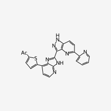 CC(=O)c1ccc(-c2ccnc3[nH]c(-c4n[nH]c5ccc(-c6ccccn6)nc45)nc23)s1